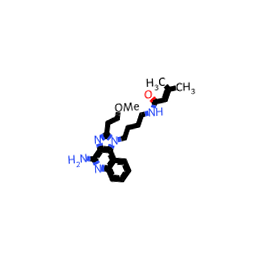 COCCc1nc2c(N)nc3ccccc3c2n1CCCCNC(=O)C=C(C)C